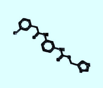 O=C(Cc1cccc(Cl)c1)Nc1cccc(NC(=O)OCc2cncs2)c1